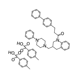 Cc1ccc(S(=O)(=O)O)cc1.Cc1ccc(S(=O)(=O)O)cc1.O=C(CCc1ccc(-c2ccccc2)cc1)N1CC(CN2CCN(c3ccccc3)CC2)Cc2ccccc21